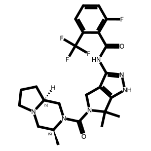 C[C@H]1CN2CCC[C@H]2CN1C(=O)N1Cc2c(NC(=O)c3c(F)cccc3C(F)(F)F)n[nH]c2C1(C)C